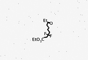 CCOC(=O)CCC(F)(F)CCCCC(=O)CC